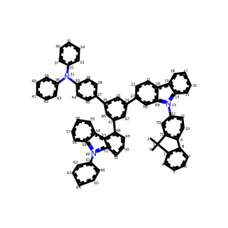 CC1(C)c2ccccc2-c2ccc(-n3c4ccccc4c4ccc(-c5cc(-c6ccc(N(c7ccccc7)c7ccccc7)cc6)cc(-c6cccc7c6c6ccccc6n7-c6ccccc6)c5)cc43)cc21